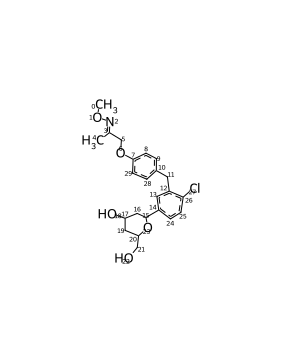 CO/N=C(\C)COc1ccc(Cc2cc(C3CC(O)CC(CO)O3)ccc2Cl)cc1